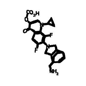 NCC12C=CC(CC1)C1CN(c3c(F)cc4c(=O)c(OC(=O)O)cn(C5CC5)c4c3F)CC12